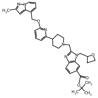 Cc1cc2c(COc3cccc(C4CCN(Cc5nc6ccc(C(=O)OC(C)(C)C)cc6n5CC5CCO5)CC4)n3)cccn2n1